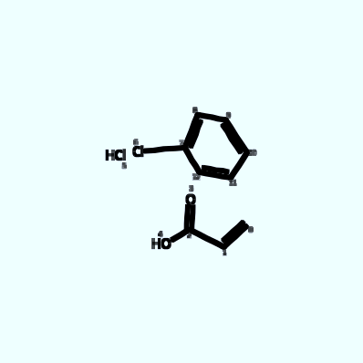 C=CC(=O)O.Cl.Clc1ccccc1